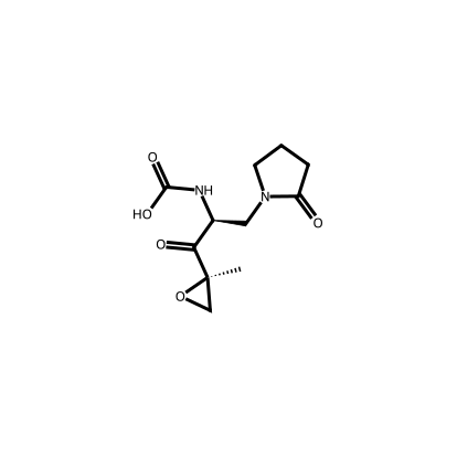 C[C@]1(C(=O)[C@H](CN2CCCC2=O)NC(=O)O)CO1